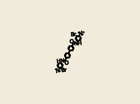 C[N+](C)(C)c1ccc(NC(=O)c2ccc(-c3ccc(C(=O)Nc4ccc([N+](C)(C)C)c(Br)c4)cc3)cc2)cc1Br